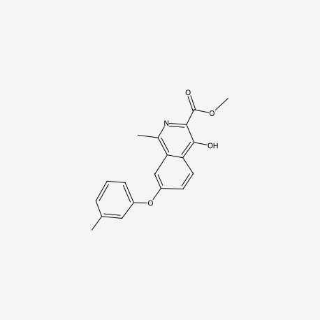 COC(=O)c1nc(C)c2cc(Oc3cccc(C)c3)ccc2c1O